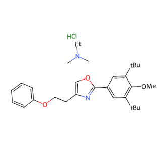 CCN(C)C.COc1c(C(C)(C)C)cc(-c2nc(CCOc3ccccc3)co2)cc1C(C)(C)C.Cl